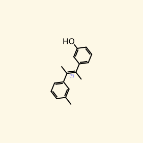 C/C(=C(/C)c1cccc(O)c1)c1cccc(C)c1